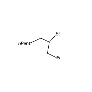 [CH2]CCCCCC(CC)CC([CH2])C